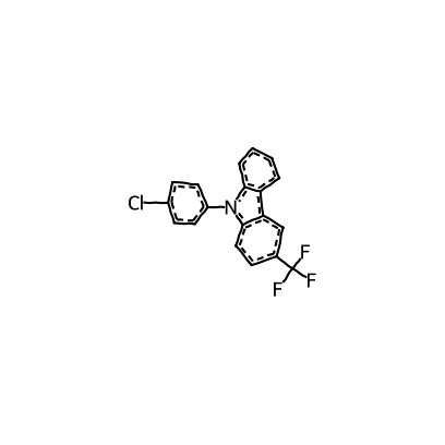 FC(F)(F)c1ccc2c(c1)c1ccccc1n2-c1ccc(Cl)cc1